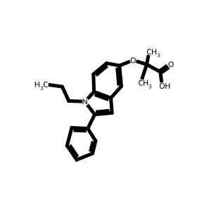 CCCn1c(-c2ccccc2)cc2cc(OC(C)(C)C(=O)O)ccc21